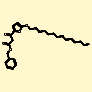 CCCCCCCCCCCCCCOc1ccc(C(=O)CC(=O)OCc2ccccc2)o1